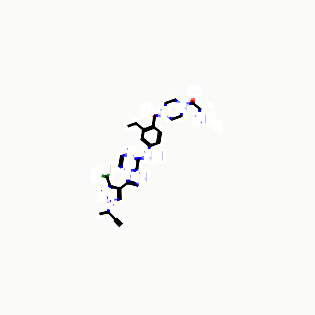 C#CC(C)n1cc(-c2cnc3c(Nc4ccc(C(=O)N5CCN(C(=O)[C@H](C)N)CC5)c(CC)c4)nccn23)c(C(F)F)n1